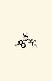 CC(Cl)C(=O)NC1CN(c2ccc(C#N)c3nccnc23)CC(F)(P)C1